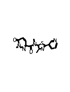 CC1N=C(c2cccnc2)SC1N(C)C(=O)c1ccc(=O)n(C)n1